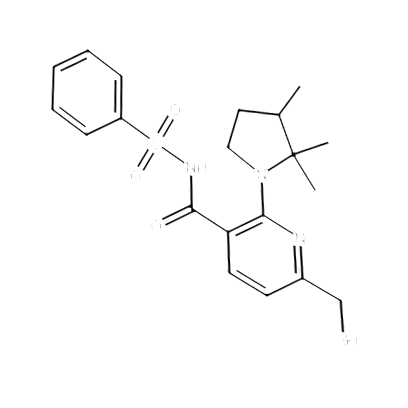 CC(C)Cc1ccc(C(=O)NS(=O)(=O)c2ccccc2)c(N2CCC(C)C2(C)C)n1